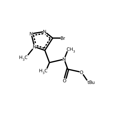 CC(c1c(Br)nnn1C)N(C)C(=O)OC(C)(C)C